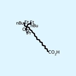 CCCCC(CC)CC(CCCCCCCCCCCCCCCCC(=O)O)(CC(CC)CCCC)C(=O)OC(C)C